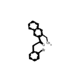 CCc1cc2ccccc2cc1C(=O)Cc1ccccc1Br